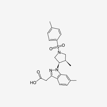 Cc1ccc(S(=O)(=O)N2C[C@@H](C)[C@@H](n3nc(CC(=O)O)c4ccc(C)cc43)C2)cc1